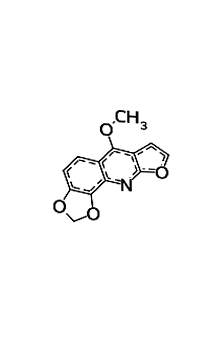 COc1c2ccoc2nc2c3c(ccc12)OCO3